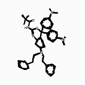 CN(C)c1ccc(C2(c3ccc(N(C)C)cc3)SC(NC(=O)C(C)(C)C)=Nc3cc(N(CCc4ccccc4)CCc4ccccc4)ccc32)cc1